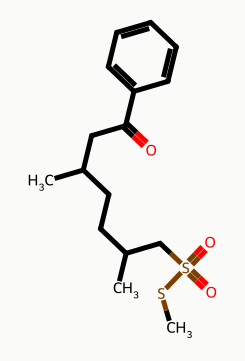 CSS(=O)(=O)CC(C)CCC(C)CC(=O)c1ccccc1